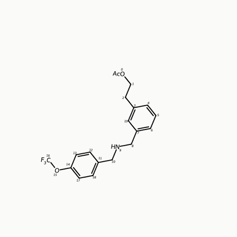 CC(=O)OCCc1cccc(CNCc2ccc(OC(F)(F)F)cc2)c1